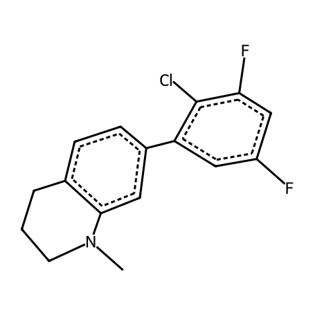 CN1CCCc2ccc(-c3cc(F)cc(F)c3Cl)cc21